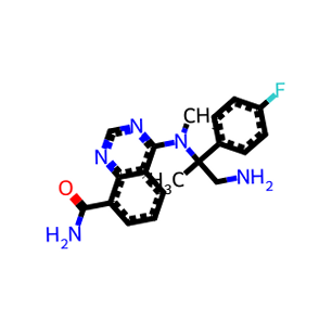 CN(c1ncnc2c(C(N)=O)cccc12)C(C)(CN)c1ccc(F)cc1